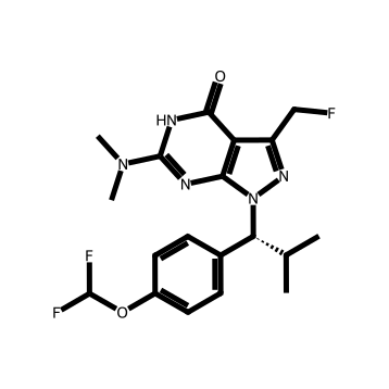 CC(C)[C@H](c1ccc(OC(F)F)cc1)n1nc(CF)c2c(=O)[nH]c(N(C)C)nc21